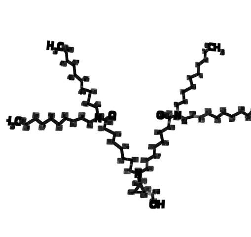 CCCCCCCCCCN(CCCCCCCCCC)C(=O)CCCCCCCN(CCCCCCCC(=O)N(CCCCCCCCCC)CCCCCCCCCC)[C@@H]1C[C@H]1CO